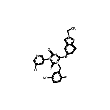 Cc1ccc(C#N)cc1Cn1c(Nc2ccc3nn(CC(F)(F)F)cc3c2)nc(=O)n(-c2cncc(Cl)c2)c1=O